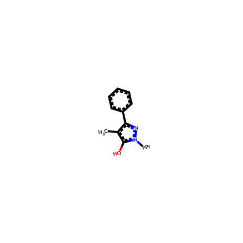 CCCn1nc(-c2ccccc2)c(C)c1O